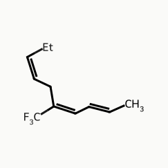 C/C=C/C=C(\C/C=C\CC)C(F)(F)F